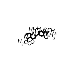 CC(=O)c1nccc2[nH]c(-c3cc(Cl)c([Si](C)(C)C)cc3C)cc(=O)c12